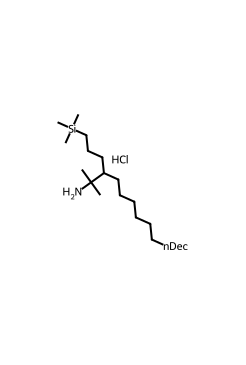 CCCCCCCCCCCCCCCCC(CCC[Si](C)(C)C)C(C)(C)N.Cl